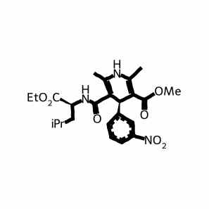 CCOC(=O)[C@H](CC(C)C)NC(=O)C1=C(C)NC(C)=C(C(=O)OC)[C@H]1c1cccc([N+](=O)[O-])c1